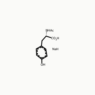 CC(=O)N[C@@H](Cc1ccc(O)cc1)C(=O)O.[NaH]